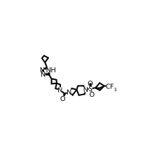 O=C(N1CC2(CCN(S(=O)(=O)C34CC(C(F)(F)F)(C3)C4)CC2)C1)N1CC2(CC(c3nnc(C4CCC4)[nH]3)C2)C1